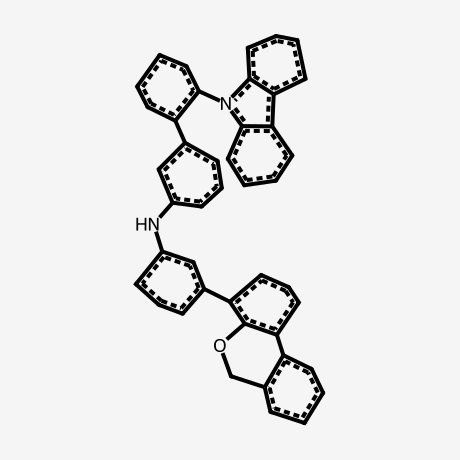 c1cc(Nc2cccc(-c3cccc4c3OCc3ccccc3-4)c2)cc(-c2ccccc2-n2c3ccccc3c3ccccc32)c1